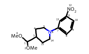 COC(OC)C1CCN(c2cccc([N+](=O)[O-])c2)CC1